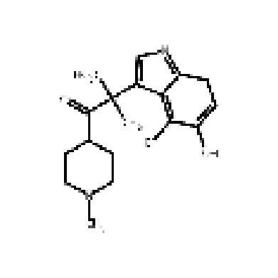 CN1CCC(C(=O)C(C)(C(=O)O)C2=CN=C3CC=C(O)C(Cl)=C23)CC1